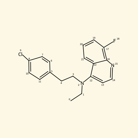 CCN(CCc1ccc(Cl)cc1)c1ccnc2c(F)cccc12